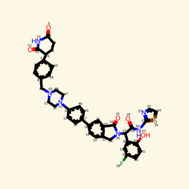 O=C1CCC(c2ccc(CN3CCN(c4ccc(-c5ccc6c(c5)C(=O)N(C(C(=O)Nc5nccs5)c5cc(F)ccc5O)C6)cc4)CC3)cc2)C(=O)N1